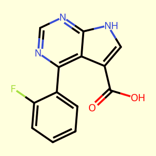 O=C(O)c1c[nH]c2ncnc(-c3ccccc3F)c12